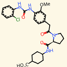 COc1cc(CC(=O)N2CCC[C@H]2C(=O)NC2CCC(C(=O)O)CC2)ccc1NC(=O)Nc1ccccc1Cl